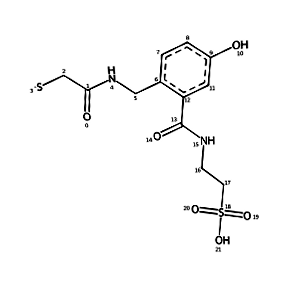 O=C(C[S])NCc1ccc(O)cc1C(=O)NCCS(=O)(=O)O